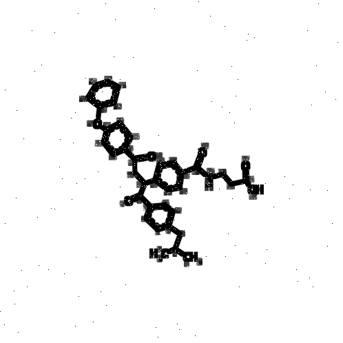 CC(C)Cc1ccc(C(=O)C(CC(=O)c2ccc(Oc3ccccc3)cc2)c2ccc(C(=O)NCCC(=O)O)cc2)cc1